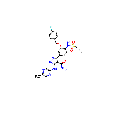 NC(=O)c1c(-c2ccc(NS(=O)(=O)CC(F)(F)F)c(OCc3ccc(F)cc3)c2)n[nH]c1Nc1cnc(C(F)(F)F)cn1